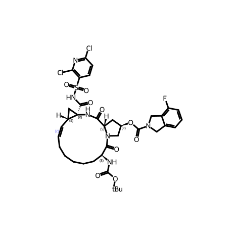 CC(C)(C)OC(=O)N[C@H]1CCCCC/C=C\[C@@H]2C[C@@]2(C(=O)NS(=O)(=O)c2ccc(Cl)nc2Cl)NC(=O)[C@@H]2C[C@@H](OC(=O)N3Cc4cccc(F)c4C3)CN2C1=O